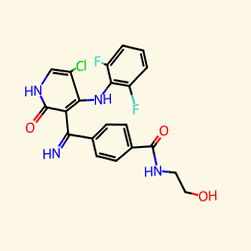 N=C(c1ccc(C(=O)NCCO)cc1)c1c(Nc2c(F)cccc2F)c(Cl)c[nH]c1=O